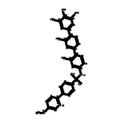 CCCCCc1ccc(-c2ccc(C(F)(F)Oc3ccc(-c4ccc(-c5cc(F)c(F)c(F)c5)c(F)c4)c(F)c3)cc2)nc1